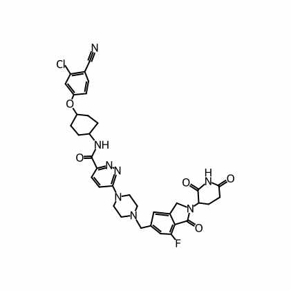 N#Cc1ccc(OC2CCC(NC(=O)c3ccc(N4CCN(Cc5cc(F)c6c(c5)CN(C5CCC(=O)NC5=O)C6=O)CC4)nn3)CC2)cc1Cl